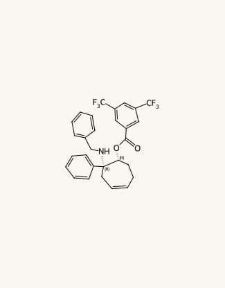 O=C(O[C@@H]1CCC=CC[C@@]1(NCc1ccccc1)c1ccccc1)c1cc(C(F)(F)F)cc(C(F)(F)F)c1